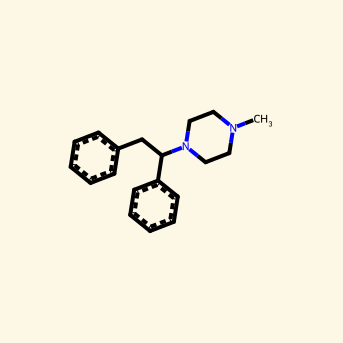 CN1CCN(C(Cc2ccccc2)c2ccccc2)CC1